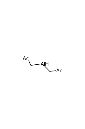 CC(=O)[CH2][AlH][CH2]C(C)=O